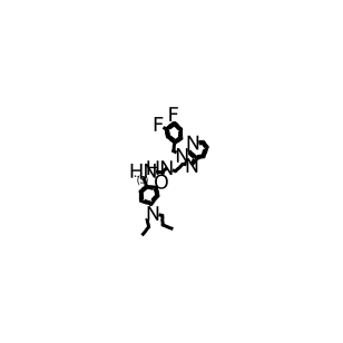 CCCN(CCC)c1ccc([C@H](C)NC(=O)NCc2nc3cccnc3n2Cc2ccc(F)c(F)c2)cc1